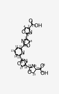 O=C(O)c1coc(-c2coc(-c3cccc(-c4nc(C5=NC(C(=O)O)CO5)co4)n3)n2)n1